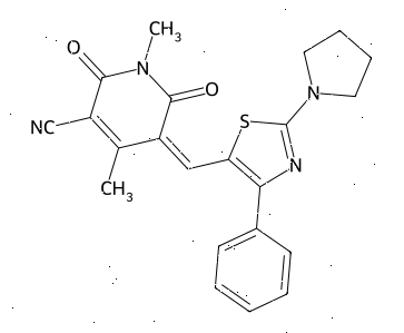 CC1=C(C#N)C(=O)N(C)C(=O)/C1=C\c1sc(N2CCCC2)nc1-c1ccccc1